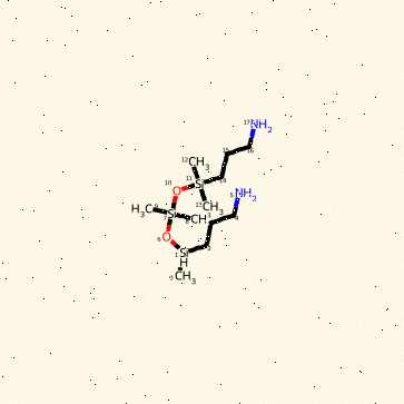 C[SiH](CCCN)O[Si](C)(C)O[Si](C)(C)CCCN